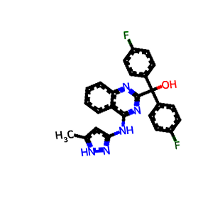 Cc1cc(Nc2nc(C(O)(c3ccc(F)cc3)c3ccc(F)cc3)nc3ccccc23)n[nH]1